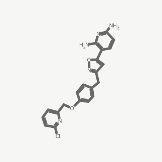 Nc1ccc(-c2cc(Cc3ccc(OCc4cccc(Cl)n4)cc3)no2)c(N)n1